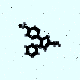 Cc1ccc(-c2sc(N)nc2-c2ccccc2)cc1